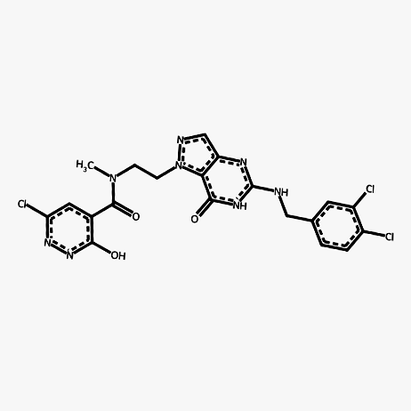 CN(CCn1ncc2nc(NCc3ccc(Cl)c(Cl)c3)[nH]c(=O)c21)C(=O)c1cc(Cl)nnc1O